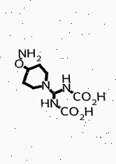 NOC1CCN(C(NC(=O)O)NC(=O)O)CC1